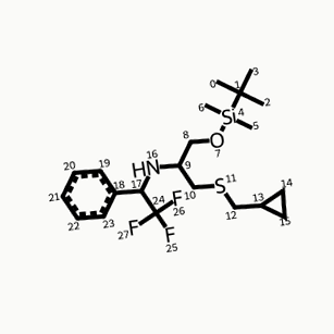 CC(C)(C)[Si](C)(C)OCC(CSCC1CC1)NC(c1ccccc1)C(F)(F)F